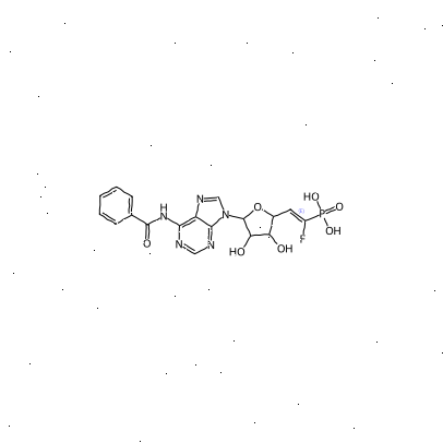 O=C(Nc1ncnc2c1ncn2C1OC(/C=C(\F)P(=O)(O)O)C(O)C1O)c1ccccc1